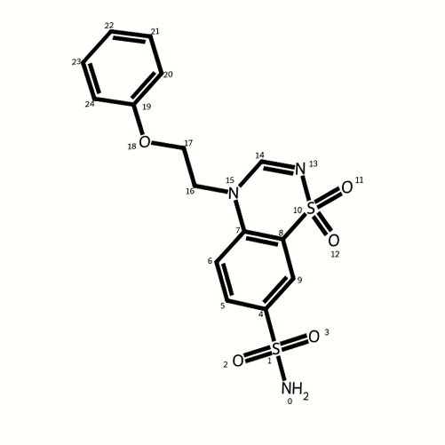 NS(=O)(=O)c1ccc2c(c1)S(=O)(=O)N=CN2CCOc1ccccc1